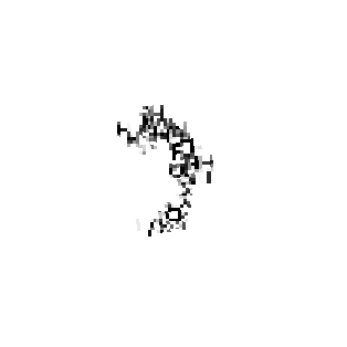 COc1ccc(CCCCNC(=O)Nc2ccc3ncc(/C(C)=C/N(C)C)nc3n2)cc1